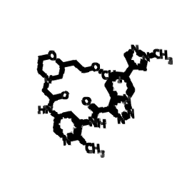 COCCC1CN(CC(=O)Nc2cnc(C)c(NC(=O)c3nnn4cc(-c5cnn(C)c5)ccc34)c2)CCO1